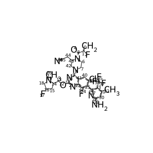 C=C(F)C(=O)N1CCN(c2nc(OCC3CC(F)CN3C)nc3c(F)c(-c4nc(N)cc(C)c4C(F)(F)F)c(Cl)cc23)CC1CC#N